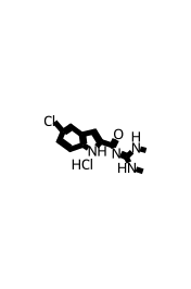 CNC(=NC(=O)c1cc2cc(Cl)ccc2[nH]1)NC.Cl